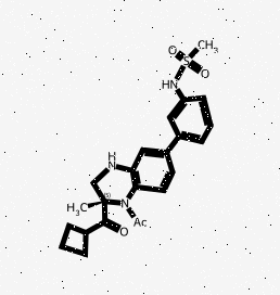 CC(=O)N1c2ccc(-c3cccc(NS(C)(=O)=O)c3)cc2NC[C@@]1(C)C(=O)C1CCC1